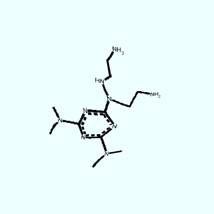 CN(C)c1nc(N(C)C)nc(N(CCN)NCCN)n1